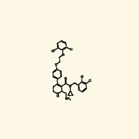 NCC1NCCC(c2ccc(OCCOc3c(Cl)cccc3Cl)cc2)=C1C(=O)N(Cc1cccc(Cl)c1Cl)C1CC1